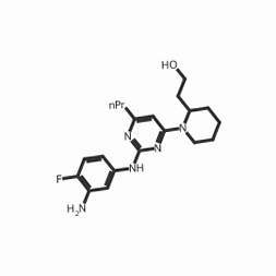 CCCc1cc(N2CCCCC2CCO)nc(Nc2ccc(F)c(N)c2)n1